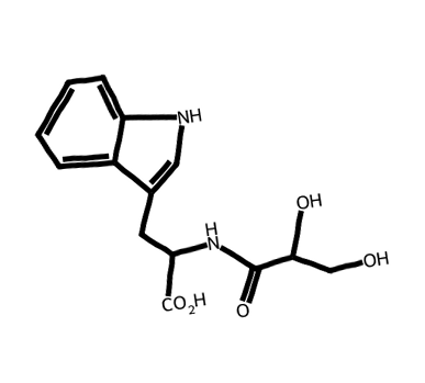 O=C(NC(Cc1c[nH]c2ccccc12)C(=O)O)C(O)CO